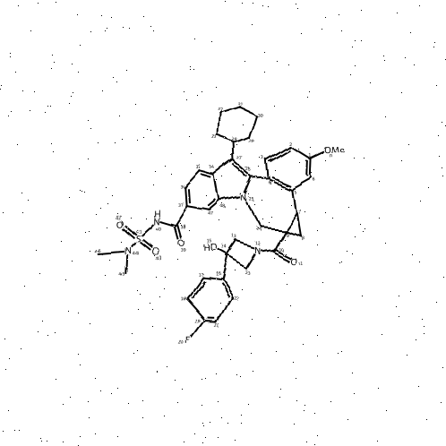 COc1ccc2c(c1)C1CC1(C(=O)N1CC(O)(c3ccc(F)cc3)C1)Cn1c-2c(C2CCCCC2)c2ccc(C(=O)NS(=O)(=O)N(C)C)cc21